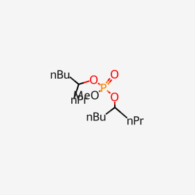 CCCCC(CCC)OP(=O)(OC)OC(CCC)CCCC